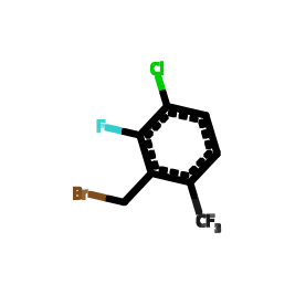 Fc1c(Cl)ccc(C(F)(F)F)c1CBr